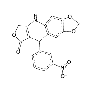 O=C1OCC2=C1C(c1cccc([N+](=O)[O-])c1)c1cc3c(cc1N2)OCO3